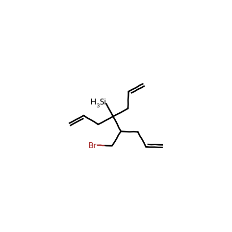 C=CCC(CBr)C([SiH3])(CC=C)CC=C